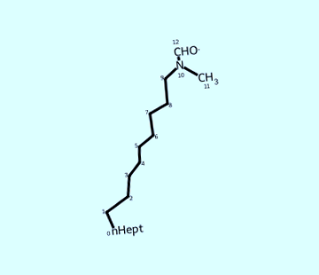 CCCCCCCCCCCCCCCCN(C)[C]=O